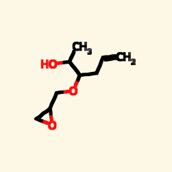 C=CCC(OCC1CO1)C(C)O